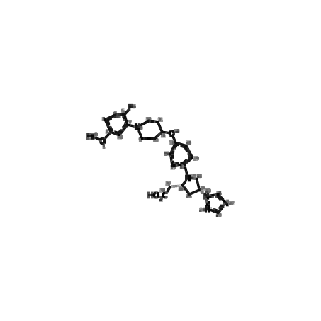 CCOc1ccc(F)c(N2CCC(Oc3ccc(N4C[C@H](n5cncn5)C[C@@H]4CC(=O)O)cc3)CC2)c1